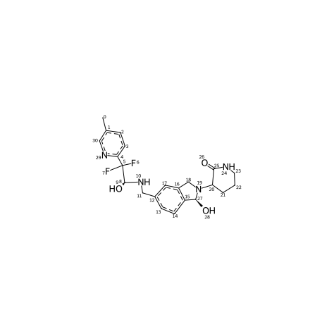 Cc1ccc(C(F)(F)[C@H](O)NCc2ccc3c(c2)CN(C2CCCNC2=O)[C@H]3O)nc1